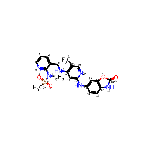 CN(c1ncccc1CNc1cc(Nc2ccc3[nH]c(=O)oc3c2)ncc1C(F)(F)F)S(C)(=O)=O